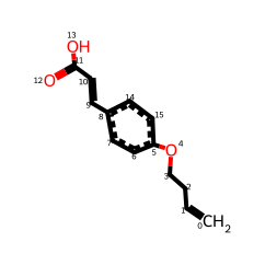 C=CCCOc1ccc(C=CC(=O)O)cc1